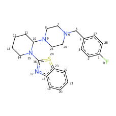 Fc1ccc(CN2CCN(C3CCCCN3c3nc4ccccc4s3)CC2)cc1